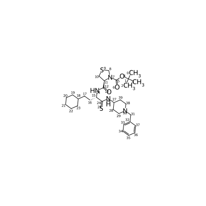 CC(C)(C)OC(=O)N1CSC[C@@H]1C(=O)N[C@@H](CCC1CCCCC1)C(=S)NC1CCN(Cc2ccccc2)CC1